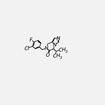 CC(C)C1C(=O)N(Cc2ccc(F)c(Cl)c2)Cc2cncn21